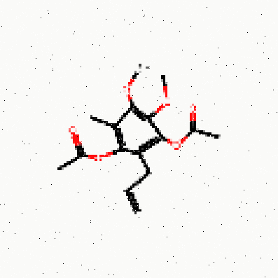 C=CCc1c(OC(C)=O)c(C)c(O[SiH3])c(OC)c1OC(C)=O